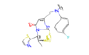 CCN(Cc1cc(=O)n2c(-c3nccs3)c(C)sc2n1)c1ccc(F)cc1